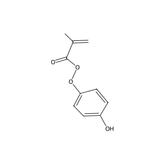 C=C(C)C(=O)OOc1ccc(O)cc1